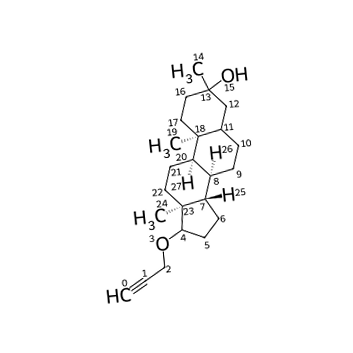 C#CCOC1CC[C@H]2[C@@H]3CCC4CC(C)(O)CC[C@]4(C)[C@@H]3CC[C@]12C